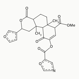 COC(=O)C1C=C(OC(=O)c2cnco2)C(=O)C2C1(C)CCC1C(=O)OC(c3ccoc3)CC12C